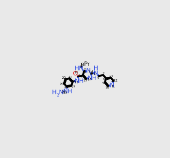 CCCNC1=NC(NCCc2ccncc2)NC=C1C(=O)Nc1cccc(NN)c1